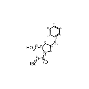 CC(C)(C)OC(=O)N1CC(Sc2ccccc2)C[C@@H]1C(=O)O